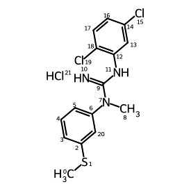 CSc1cccc(N(C)C(=N)Nc2cc(Cl)ccc2Cl)c1.Cl